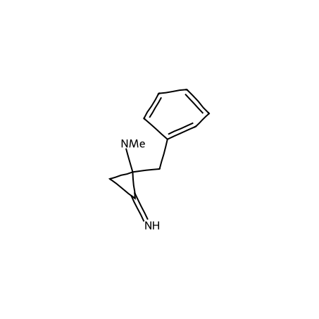 CNC1(Cc2ccccc2)CC1=N